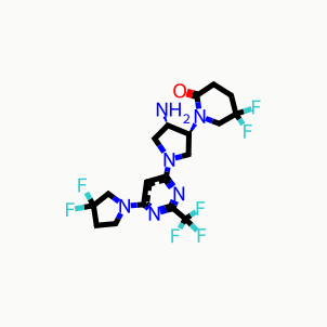 N[C@H]1CN(c2cc(N3CCC(F)(F)C3)nc(C(F)(F)F)n2)C[C@@H]1N1CC(F)(F)CCC1=O